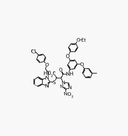 CCOc1ccc(Oc2cc(NC(=O)C(C(Sc3nc4ccccc4n3CCOc3ccc(Cl)cc3)C(=O)O)n3cnc([N+](=O)[O-])n3)cc(Oc3cccc(C)c3)c2)cc1